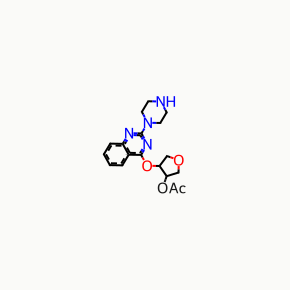 CC(=O)OC1COCC1Oc1nc(N2CCNCC2)nc2ccccc12